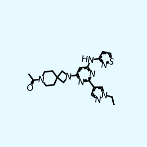 CCn1cc(-c2nc(Nc3ccsn3)cc(N3CC4(CCN(C(C)=O)CC4)C3)n2)cn1